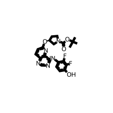 CC(C)(C)OC(=O)N1CC[C@H](Oc2ccc3ncnc(Nc4ccc(O)c(F)c4F)c3n2)C1